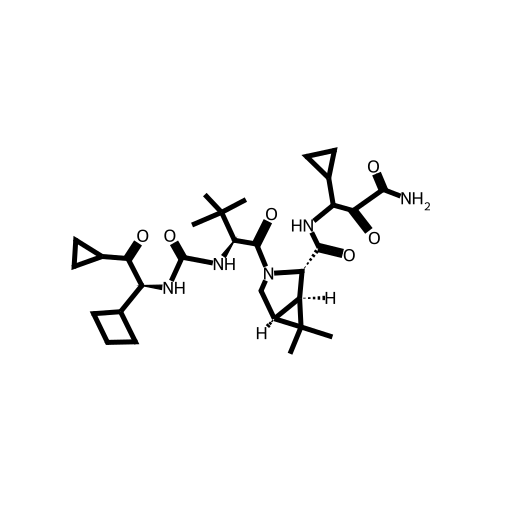 CC(C)(C)[C@H](NC(=O)N[C@H](C(=O)C1CC1)C1CCC1)C(=O)N1C[C@H]2[C@@H]([C@H]1C(=O)NC(C(=O)C(N)=O)C1CC1)C2(C)C